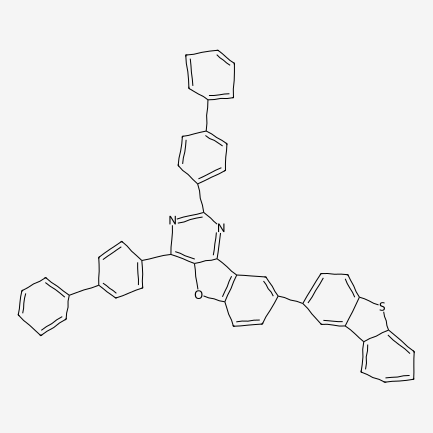 c1ccc(-c2ccc(-c3nc(-c4ccc(-c5ccccc5)cc4)c4oc5ccc(-c6ccc7sc8ccccc8c7c6)cc5c4n3)cc2)cc1